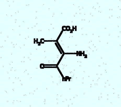 CCCC(=O)C(N)=C(C)C(=O)O